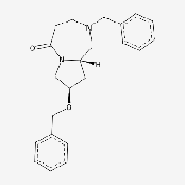 O=C1CCN(Cc2ccccc2)C[C@@H]2C[C@@H](OCc3ccccc3)CN12